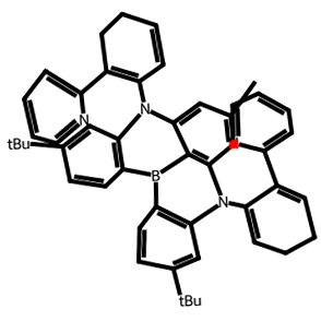 Cc1cc2c3c(c1)N(C1=C(c4ccccn4)CCC=C1)c1cc(C(C)(C)C)ccc1B3c1ccc(C(C)(C)C)cc1N2C1=CCCC=C1c1ccccn1